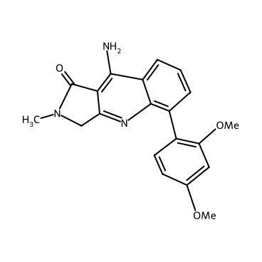 COc1ccc(-c2cccc3c(N)c4c(nc23)CN(C)C4=O)c(OC)c1